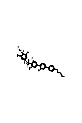 CCCCCc1ccc(-c2ccc(-c3cc(F)c(C(F)(F)Oc4cc(F)c(OCF)c(F)c4)c(F)c3)c(F)c2)cc1